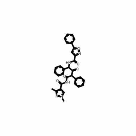 Cc1nn(C)cc1C(=O)NC(=O)C(C(=O)C(NC(=O)c1cc(-c2ccccc2)on1)c1ccccc1)c1ccccc1